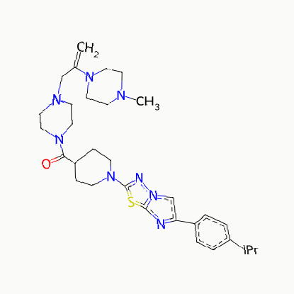 C=C(CN1CCN(C(=O)C2CCN(c3nn4cc(-c5ccc(C(C)C)cc5)nc4s3)CC2)CC1)N1CCN(C)CC1